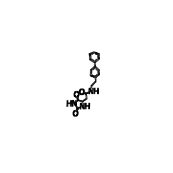 O=C(CC1NC(=O)NC1=O)NCCc1ccc(-c2ccccc2)cc1